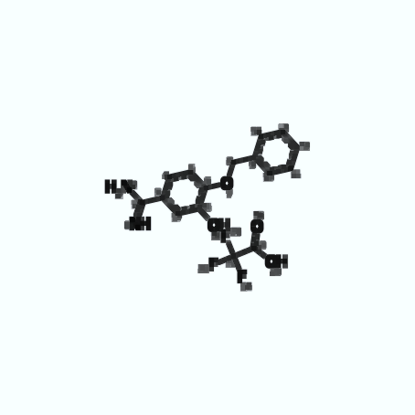 N=C(N)c1ccc(OCc2ccccc2)c(O)c1.O=C(O)C(F)(F)F